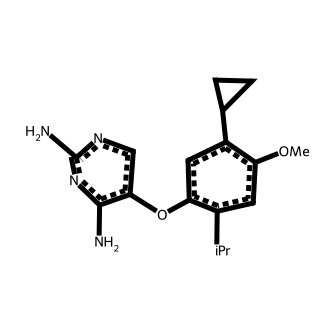 COc1cc(C(C)C)c(Oc2cnc(N)nc2N)cc1C1CC1